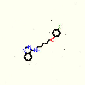 Clc1ccc(OCCCCCNc2ncnc3ccccc23)cc1